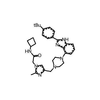 Cc1nc(CN2CCN(c3cccc4[nH]c(-c5ccc(C(C)(C)C)cc5)nc34)CC2)cn1CC(=O)NC1CCC1